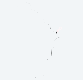 CCCCCCCC/C=C\CCCCCCCC(=O)C([C]=O)=CCCCCCCCCCCCCCCCCC